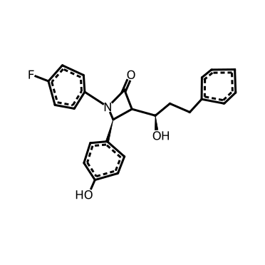 O=C1C([C@H](O)CCc2ccccc2)[C@@H](c2ccc(O)cc2)N1c1ccc(F)cc1